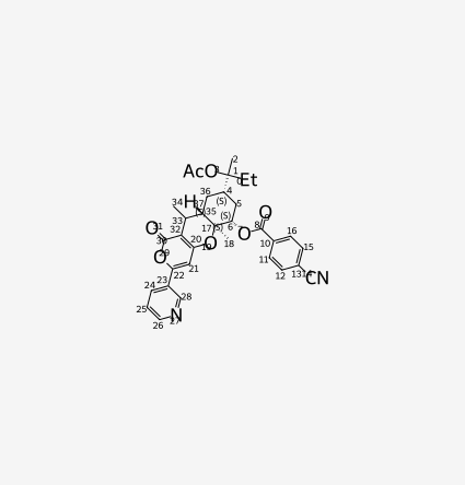 CCC(C)(OC(C)=O)[C@@H]1C[C@H](OC(=O)c2ccc(C#N)cc2)[C@@]2(C)Oc3cc(-c4cccnc4)oc(=O)c3C(C)[C@@H]2C1